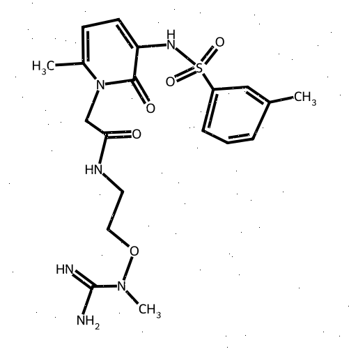 Cc1cccc(S(=O)(=O)Nc2ccc(C)n(CC(=O)NCCON(C)C(=N)N)c2=O)c1